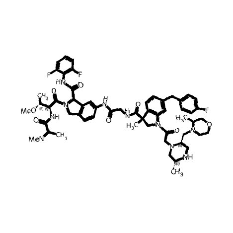 CNC(C)C(=O)N[C@H](C(=O)N1Cc2ccc(NC(=O)CNC(=O)C3(C)CN(C(=O)CN4C[C@@H](C)NC[C@@H]4CN4CCOCC4C)c4cc(Cc5ccc(F)cc5)ccc43)cc2C1C(=O)Nc1c(F)cccc1F)[C@@H](C)OC